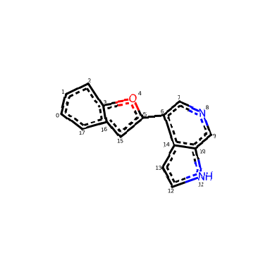 c1ccc2oc(-c3cncc4[nH]ccc34)cc2c1